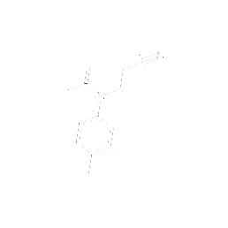 Cc1ccc(N(CCC#N)C(=O)Cl)cc1